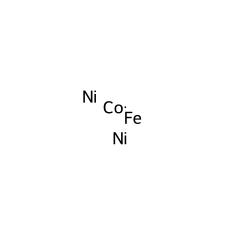 [Co].[Fe].[Ni].[Ni]